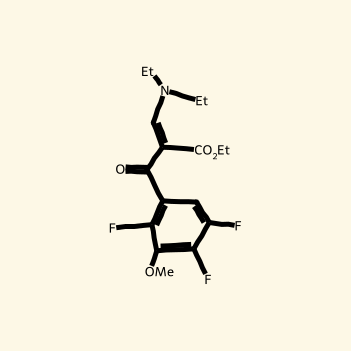 CCOC(=O)/C(=C\N(CC)CC)C(=O)c1cc(F)c(F)c(OC)c1F